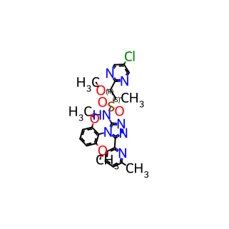 COc1cccc(OC)c1-n1c(NS(=O)(=O)[C@@H](C)[C@H](OC)c2ncc(Cl)cn2)nnc1-c1cccc(C)n1